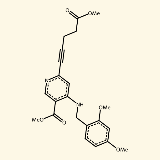 COC(=O)CCC#Cc1cc(NCc2ccc(OC)cc2OC)c(C(=O)OC)cn1